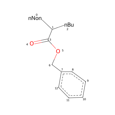 CCCCCCCCCC(CCCC)C(=O)OCc1ccccc1